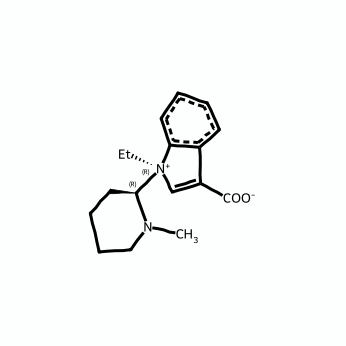 CC[N@@+]1([C@@H]2CCCCN2C)C=C(C(=O)[O-])c2ccccc21